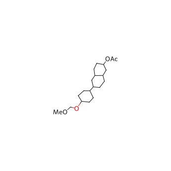 COCOC1CCC(C2CCC3CC(OC(C)=O)CCC3C2)CC1